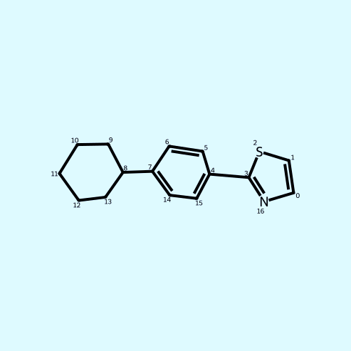 c1csc(-c2ccc(C3CCCCC3)cc2)n1